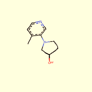 Cc1ccncc1N1CCC(O)C1